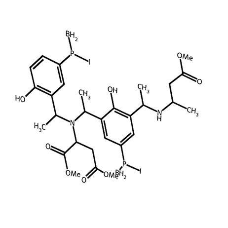 BP(I)c1ccc(O)c(C(C)N(C(CC(=O)OC)C(=O)OC)C(C)c2cc(P(B)I)cc(C(C)NC(C)CC(=O)OC)c2O)c1